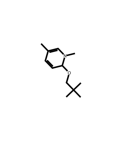 CC1=CN(C)C(OCC(C)(C)C)C=C1